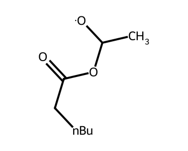 CCCCCC(=O)OC(C)[O]